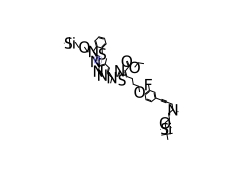 CCOC(=O)c1nc(N(C)c2cc(C)c(/N=c3\sc4ccccc4n3COCC[Si](C)(C)C)nn2)sc1CCCOc1ccc(C#CCN(C)CCO[Si](C)(C)C(C)(C)C)cc1F